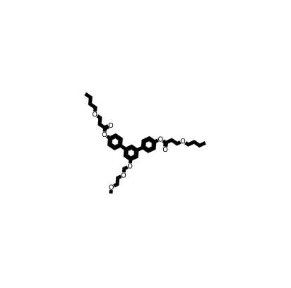 CCCCOCCC(=O)Oc1ccc(-c2cc(OCOCCOC)cc(-c3ccc(OC(=O)CCOCCCC)cc3)c2)cc1